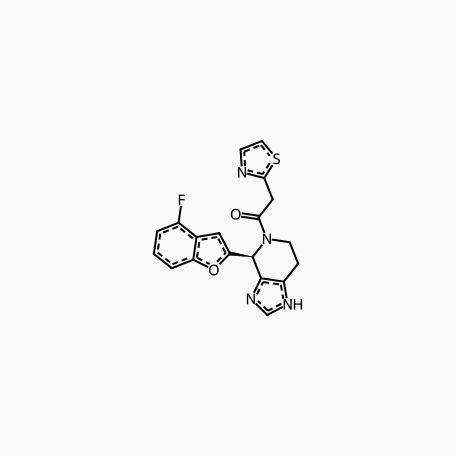 O=C(Cc1nccs1)N1CCc2[nH]cnc2[C@H]1c1cc2c(F)cccc2o1